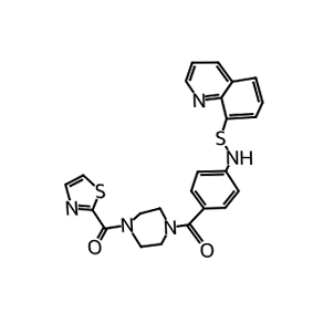 O=C(c1ccc(NSc2cccc3cccnc23)cc1)N1CCN(C(=O)c2nccs2)CC1